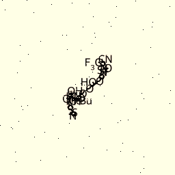 Cc1ncsc1-c1ccc(CNC(=O)[C@@H]2C[C@@H](O)CN2C(=O)C(NC(=O)COCCCOCCC(O)CCOc2ccc(N3C(=S)N(c4ccc(C#N)c(C(F)(F)F)c4)C(=O)C3(C)C)cc2)C(C)(C)C)cc1